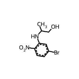 CC(CO)Nc1cc(Br)ccc1[N+](=O)[O-]